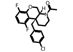 CC(=O)N1CCC[C@]2(Cc3ccc(Cl)cc3)c3c(F)ccc(F)c3OC[C@H]12